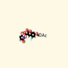 CC(=O)OCOc1cc(F)c2cc(C(=O)ON3C(=O)CCC3=O)c(=O)oc2c1